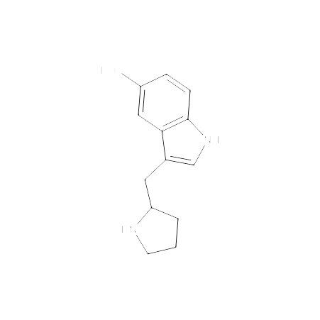 Cc1ccc2[nH]cc(CC3CCCN3)c2c1